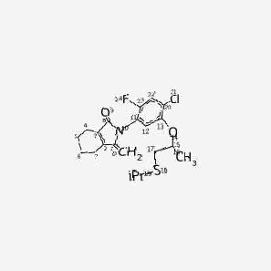 C=C1C2=C(CCCC2)C(=O)N1c1cc(OC(C)CSC(C)C)c(Cl)cc1F